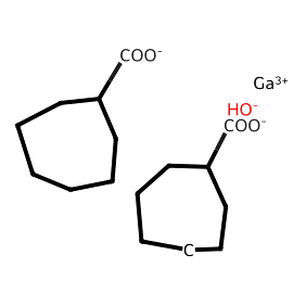 O=C([O-])C1CCCCCC1.O=C([O-])C1CCCCCC1.[Ga+3].[OH-]